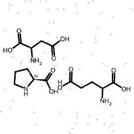 NC(CC(=O)O)C(=O)O.NC(CCC(=O)O)C(=O)O.O=C(O)[C@@H]1CCCN1